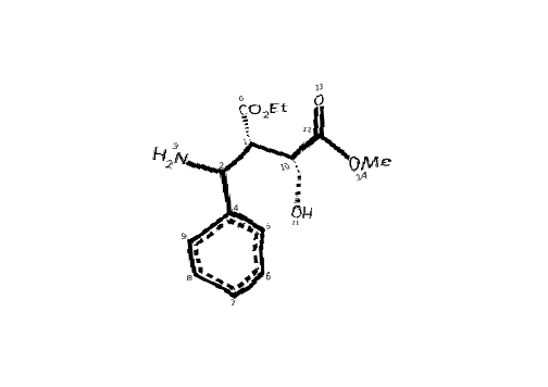 CCOC(=O)[C@@H](C(N)c1ccccc1)[C@@H](O)C(=O)OC